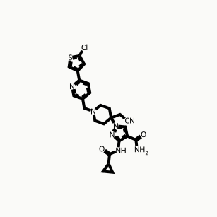 N#CCC1(n2cc(C(N)=O)c(NC(=O)C3CC3)n2)CCN(Cc2ccc(-c3csc(Cl)c3)nc2)CC1